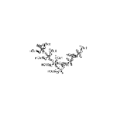 CCCCCCCCOP(=S)([S-])OCCCCCCCC.CCCCCCCCOP(=S)([S-])OCCCCCCCC.CCCCCCCCOP(=S)([S-])OCCCCCCCC.CCCCCCCCOP(=S)([S-])OCCCCCCCC.CCCCCCCCOP(=S)([S-])OCCCCCCCC.CCCCCCCCOP(=S)([S-])OCCCCCCCC.[Mo+6]